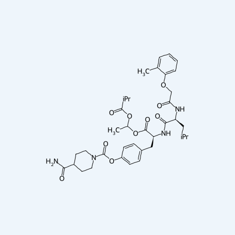 Cc1ccccc1OCC(=O)N[C@@H](CC(C)C)C(=O)N[C@@H](Cc1ccc(OC(=O)N2CCC(C(N)=O)CC2)cc1)C(=O)OC(C)OC(=O)C(C)C